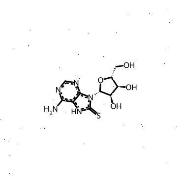 Nc1ncnc2c1[nH]c(=S)n2[C@@H]1O[C@H](CO)[C@@H](O)[C@H]1O